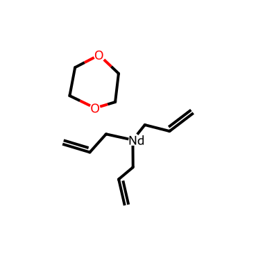 C1COCCO1.C=C[CH2][Nd]([CH2]C=C)[CH2]C=C